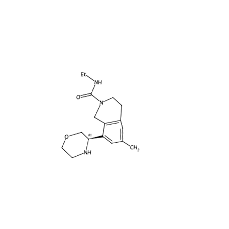 CCNC(=O)N1CCc2cc(C)cc([C@@H]3COCCN3)c2C1